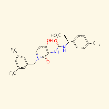 Cc1ccc([C@H](CC(=O)O)NC(=O)Nc2c(O)ccn(Cc3cc(C(F)(F)F)cc(C(F)(F)F)c3)c2=O)cc1